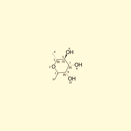 C[C]1O[C@H](C)[C@@H](O)[C@H](O)[C@@H]1O